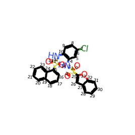 O=S(=O)(Nc1cc(Cl)ccc1NS(=O)(=O)c1cccc2ccccc12)c1cc2ccccc2o1